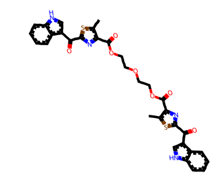 Cc1sc(C(=O)c2c[nH]c3ccccc23)nc1C(=O)OCCOCCOC(=O)c1nc(C(=O)c2c[nH]c3ccccc23)sc1C